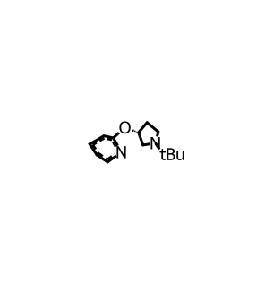 CC(C)(C)N1CC[C@@H](Oc2ccccn2)C1